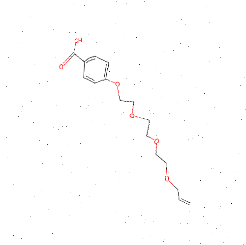 C=CCOCCOCCOCCOc1ccc(C(=O)O)cc1